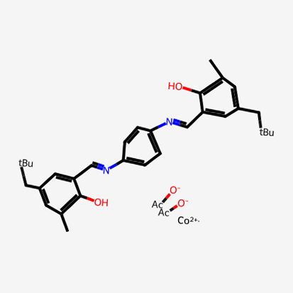 CC(=O)[O-].CC(=O)[O-].Cc1cc(CC(C)(C)C)cc(C=Nc2ccc(N=Cc3cc(CC(C)(C)C)cc(C)c3O)cc2)c1O.[Co+2]